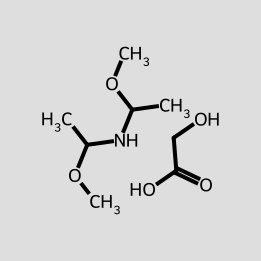 COC(C)NC(C)OC.O=C(O)CO